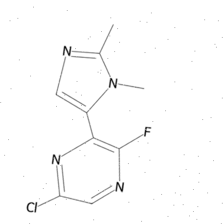 Cc1ncc(-c2nc(Cl)cnc2F)n1C